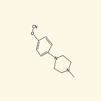 CN1CCN(c2ccc(OC#N)cc2)CC1